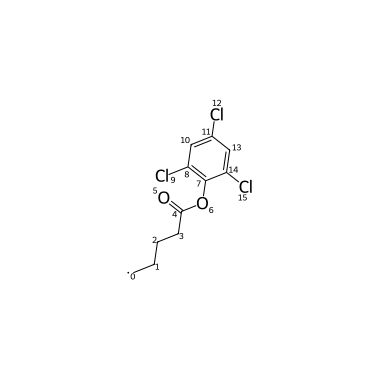 [CH2]CCCC(=O)Oc1c(Cl)cc(Cl)cc1Cl